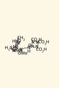 C=CC(=O)N[C@@H]1CN(c2nc(Nc3cn(CCCCCNC(=O)CN4CCN(CC(=O)O)CCN(CC(=O)O)CCN(CC(=O)O)CC4)nc3OC)c3ncn(C)c3n2)C[C@H]1F